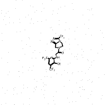 N#Cc1c(C(F)(F)F)cc(C(F)(F)F)nc1NCC(=O)N1CCn2c(nnc2C(F)(F)F)C1